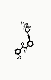 COc1cccc(C(=O)Nc2cccc(C#Cc3cnc(N)nc3)c2)c1